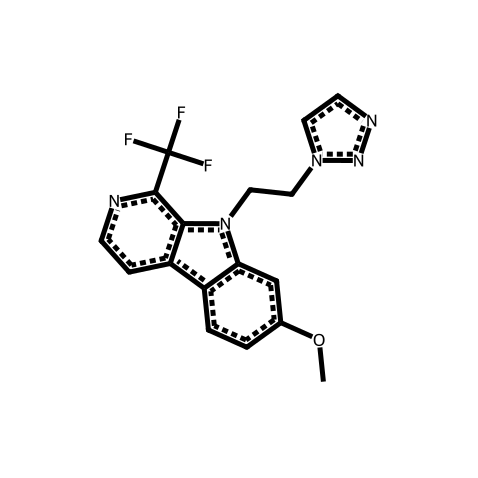 COc1ccc2c3ccnc(C(F)(F)F)c3n(CCn3ccnn3)c2c1